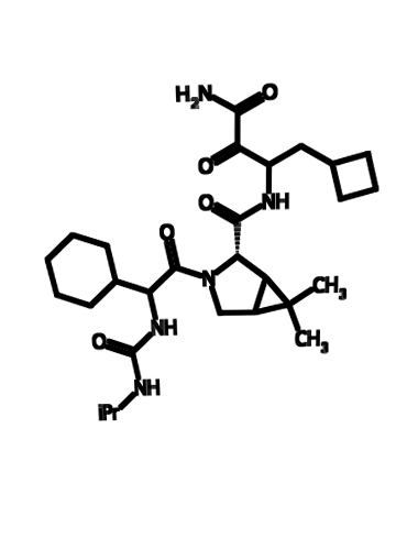 CC(C)NC(=O)NC(C(=O)N1CC2C([C@H]1C(=O)NC(CC1CCC1)C(=O)C(N)=O)C2(C)C)C1CCCCC1